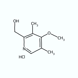 COc1c(C)cnc(CO)c1C.Cl